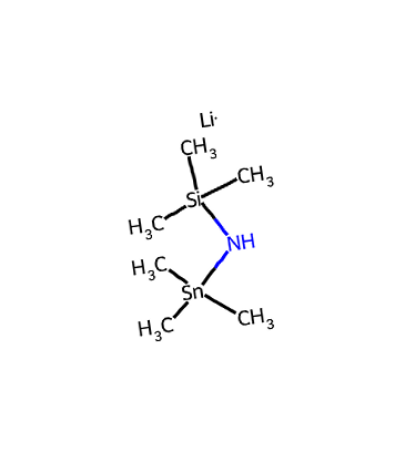 C[Si](C)(C)[NH][Sn]([CH3])([CH3])[CH3].[Li]